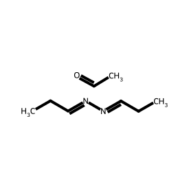 CC=O.CCC=NN=CCC